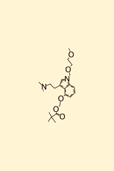 COCCOCn1cc(CCN(C)C)c2c(OCOC(=O)C(C)(C)C)cccc21